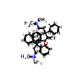 CCC(C(=O)C(CC)C(CCN(C)C)(c1ccccc1)c1ccccc1)C(CCN(C)C)(c1ccccc1)c1ccccc1